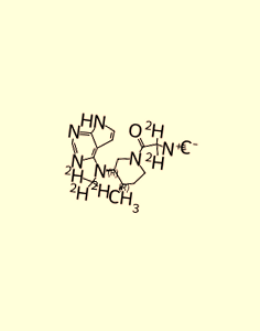 [2H]C([2H])([N+]#[C-])C(=O)N1CC[C@@H](C)[C@@H](N(c2ncnc3[nH]ccc23)C([2H])([2H])[2H])C1